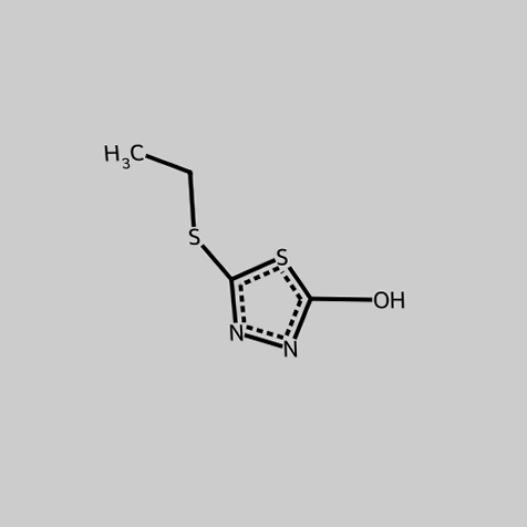 CCSc1nnc(O)s1